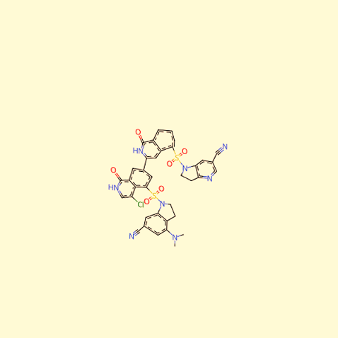 CN(C)c1cc(C#N)cc2c1CCN2S(=O)(=O)c1cc(-c2cc3c(S(=O)(=O)N4CCc5ncc(C#N)cc54)cccc3c(=O)[nH]2)cc2c(=O)[nH]cc(Cl)c12